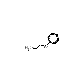 CC[CH2][Al][c]1ccccc1